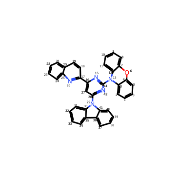 c1ccc2c(c1)Oc1ccccc1N2c1nc(-c2ccc3ccccc3n2)cc(-n2c3ccccc3c3ccccc32)n1